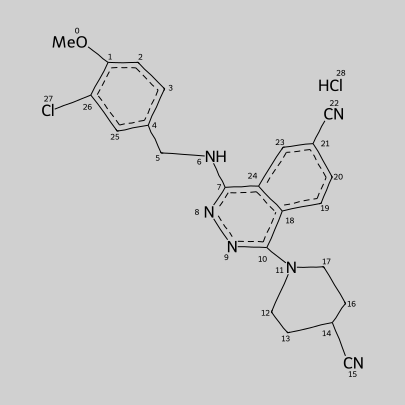 COc1ccc(CNc2nnc(N3CCC(C#N)CC3)c3ccc(C#N)cc23)cc1Cl.Cl